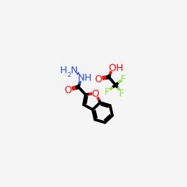 NNC(=O)c1cc2ccccc2o1.O=C(O)C(F)(F)F